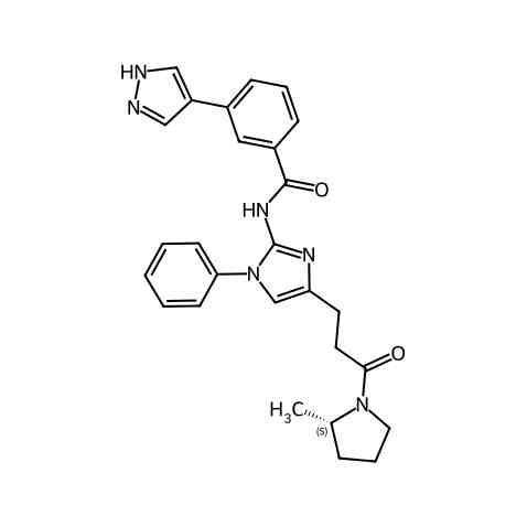 C[C@H]1CCCN1C(=O)CCc1cn(-c2ccccc2)c(NC(=O)c2cccc(-c3cn[nH]c3)c2)n1